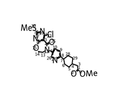 COC(=O)CC1CCC(c2ccc(N3CCOc4nc(SC)nc(Cl)c4C3=O)cn2)CC1